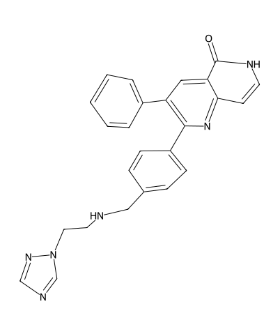 O=c1[nH]ccc2nc(-c3ccc(CNCCn4cncn4)cc3)c(-c3ccccc3)cc12